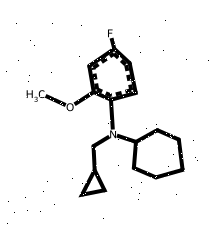 COc1cc(F)ccc1N(CC1CC1)C1CCCCC1